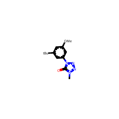 COc1cc(-n2nnn(C)c2=O)cc(C(C)(C)C)c1